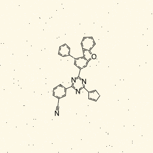 N#Cc1cccc(-c2nc(C3=CCC=C3)nc(-c3cc(-c4ccccc4)c4c(c3)oc3ccccc34)n2)c1